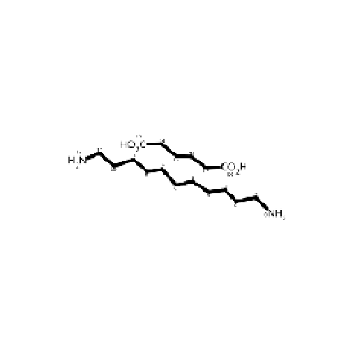 NCCCCCCCCCCCN.O=C(O)CCCCC(=O)O